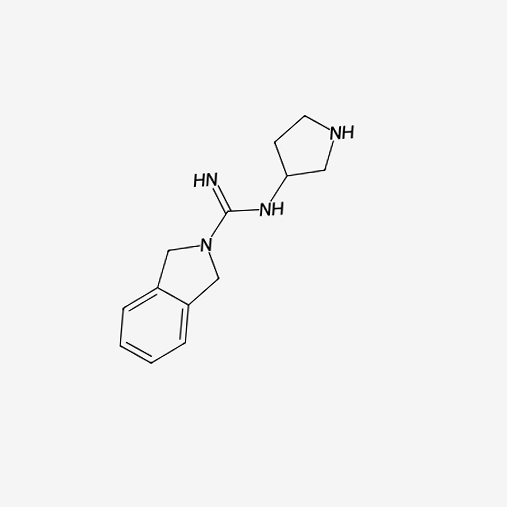 N=C(NC1CCNC1)N1Cc2ccccc2C1